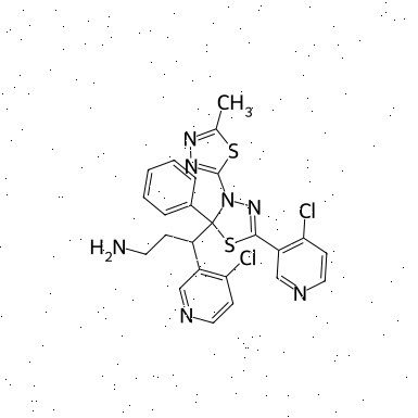 Cc1nnc(N2N=C(c3cnccc3Cl)SC2(c2ccccc2)C(CCN)c2cnccc2Cl)s1